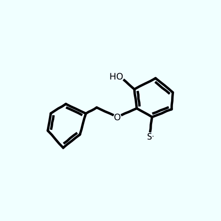 Oc1cccc([S])c1OCc1ccccc1